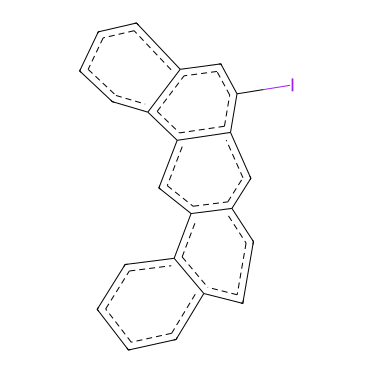 Ic1cc2ccccc2c2cc3c(ccc4ccccc43)cc12